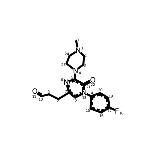 CN1CCN(c2nc(CCC=O)cn(-c3ccc(F)cc3)c2=O)CC1